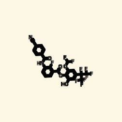 N#Cc1ccc(C(=O)Nc2cccc(C(=O)Oc3c(O)cc(C(F)(C(F)(F)F)C(F)(F)F)cc3OC(F)F)c2F)cc1